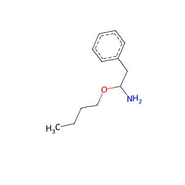 CCCCOC(N)Cc1ccccc1